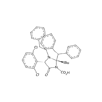 CC(C)(C)[C@@]1(C(c2ccccc2)c2ccccc2)N(C(=O)O)C(=O)[C@H](c2c(Cl)cccc2Cl)N1CCc1ccccc1